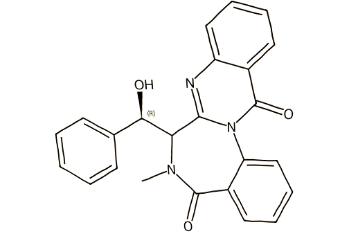 CN1C(=O)c2ccccc2-n2c(nc3ccccc3c2=O)C1[C@H](O)c1ccccc1